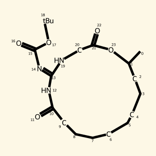 CC1CCCCCCCCC(=O)NC(=NC(=O)OC(C)(C)C)NCC(=O)O1